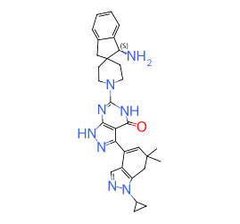 CC1(C)C=C(c2n[nH]c3nc(N4CCC5(CC4)Cc4ccccc4[C@H]5N)[nH]c(=O)c23)c2cnn(C3CC3)c2C1